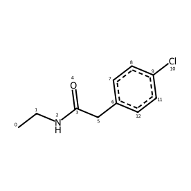 CCNC(=O)Cc1ccc(Cl)cc1